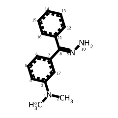 CN(C)c1cccc(/C(=N/N)c2ccccc2)c1